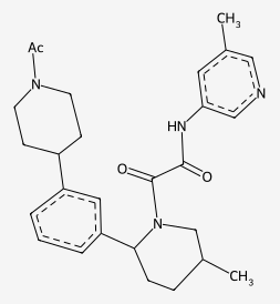 CC(=O)N1CCC(c2cccc(C3CCC(C)CN3C(=O)C(=O)Nc3cncc(C)c3)c2)CC1